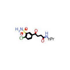 CCCNC(=O)CCC(=O)c1ccc(Cl)c(S(N)(=O)=O)c1